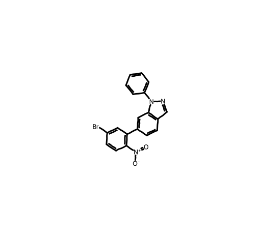 O=[N+]([O-])c1ccc(Br)cc1-c1ccc2cnn(-c3ccccc3)c2c1